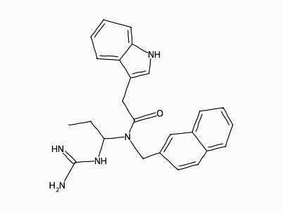 CCC(NC(=N)N)N(Cc1ccc2ccccc2c1)C(=O)Cc1c[nH]c2ccccc12